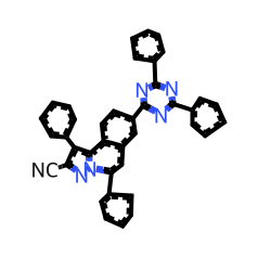 N#Cc1nn2c(-c3ccccc3)cc3cc(-c4nc(-c5ccccc5)nc(-c5ccccc5)n4)ccc3c2c1-c1ccccc1